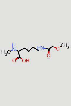 CNC(CCCCNC(=O)COC)C(=O)O